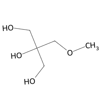 COCC(O)(CO)CO